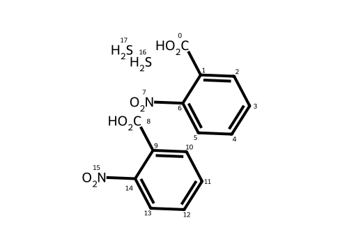 O=C(O)c1ccccc1[N+](=O)[O-].O=C(O)c1ccccc1[N+](=O)[O-].S.S